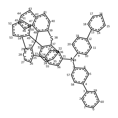 c1ccc(-c2ccc(N(c3ccc(-c4ccccc4)cc3)c3ccc(-c4cccc5c4C4(c6ccccc6Sc6ccc7ccccc7c64)c4ccccc4-5)cc3)cc2)cc1